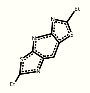 CCc1nc2nc3sc(CC)nc3cc2s1